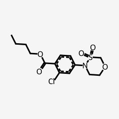 CCCCOC(=O)c1ccc(N2CCOCS2(=O)=O)cc1Cl